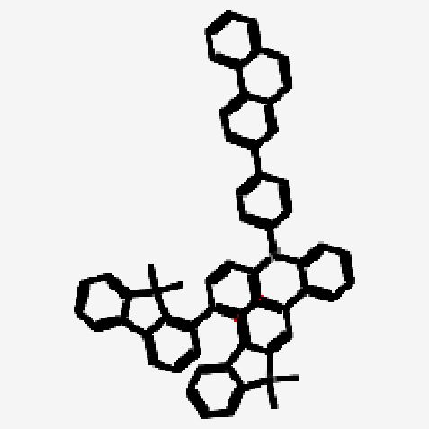 CC1(C)c2ccccc2-c2ccc(-c3ccccc3N(c3ccc(-c4ccc5c(ccc6ccccc65)c4)cc3)c3ccc(-c4cccc5c4C(C)(C)c4ccccc4-5)cc3)cc21